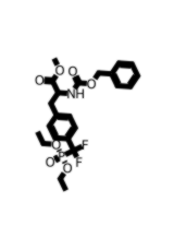 CCOP(=O)(OCC)C(F)(F)c1ccc(CC(NC(=O)OCc2ccccc2)C(=O)OC)cc1